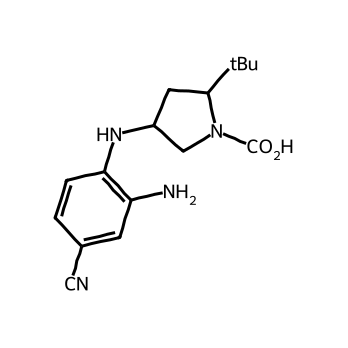 CC(C)(C)C1CC(Nc2ccc(C#N)cc2N)CN1C(=O)O